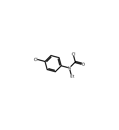 CCN(C(=O)Cl)c1ccc(Cl)cc1